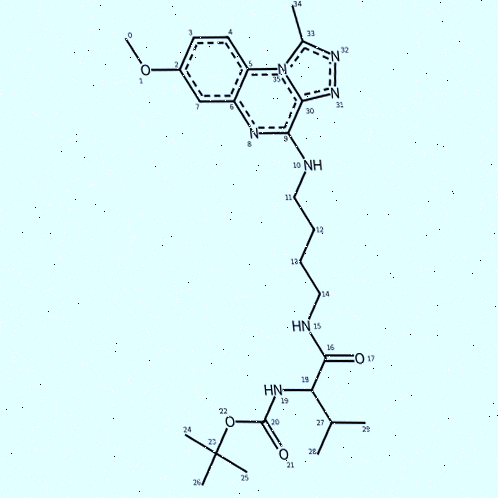 COc1ccc2c(c1)nc(NCCCCNC(=O)C(NC(=O)OC(C)(C)C)C(C)C)c1nnc(C)n12